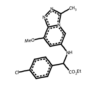 CCOC(=O)C(Nc1cc(OC)c2nnc(C)n2c1)c1ccc(Cl)cc1